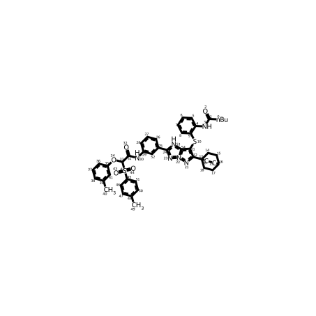 CCCCC(=O)Nc1ccccc1Sc1c(C23CCC(CC2)CC3)nn2nc(-c3cccc(NC(=O)C(Oc4cccc(C)c4)S(=O)(=O)c4ccc(C)cc4)c3)[nH]c12